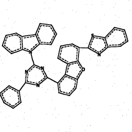 c1ccc(-c2nc(-c3cccc4oc5c(-c6nc7ccccc7s6)cccc5c34)nc(-n3c4ccccc4c4ccccc43)n2)cc1